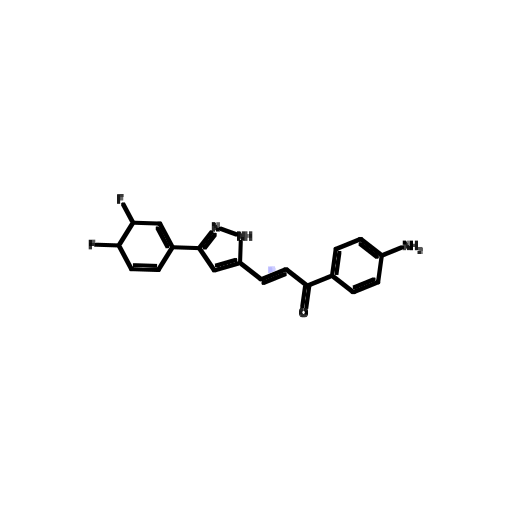 Nc1ccc(C(=O)/C=C/c2cc(C3=CC(F)C(F)C=C3)n[nH]2)cc1